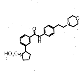 O=C(Nc1ccc(CCN2CCOCC2)cc1)c1cccc(C2CCCN2C(=O)O)c1